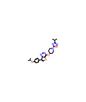 CC(C)Sc1ccc(-c2csc3c(OC4CCN(c5nc(C(C)C)no5)CC4)ncnc23)cc1